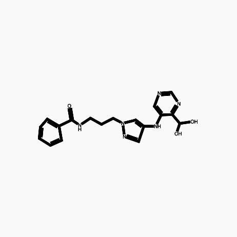 O=C(NCCCn1cc(Nc2cncnc2C(O)O)cn1)c1ccccc1